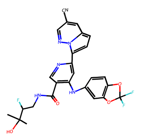 CC(C)(O)C(F)CNC(=O)c1cnc(-c2ccc3cc(C#N)cnn23)cc1Nc1ccc2c(c1)OC(F)(F)O2